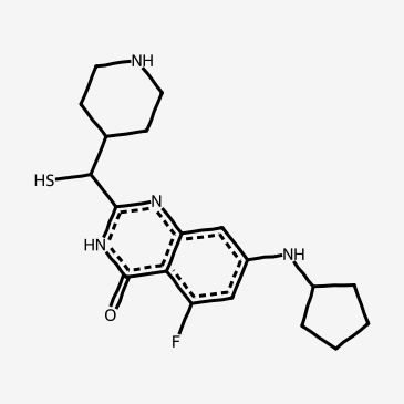 O=c1[nH]c(C(S)C2CCNCC2)nc2cc(NC3CCCC3)cc(F)c12